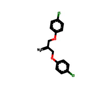 C=C(COc1ccc(Cl)cc1)COc1ccc(Cl)cc1